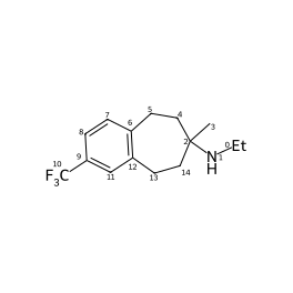 CCNC1(C)CCc2ccc(C(F)(F)F)cc2CC1